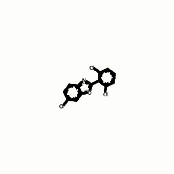 Clc1ccc2nc(-c3c(Cl)cccc3Cl)oc2c1